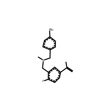 C=C(C)c1ccc(F)c(CN(C)Cc2ccc(C(C)(C)C)cc2)c1